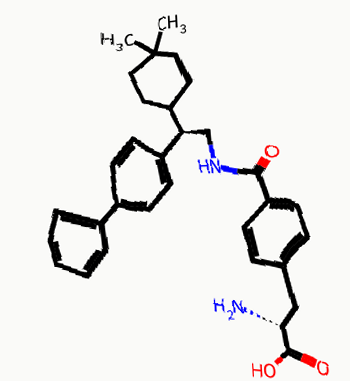 CC1(C)CCC([C@@H](CNC(=O)c2ccc(C[C@@H](N)C(=O)O)cc2)c2ccc(-c3ccccc3)cc2)CC1